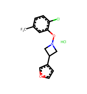 Cl.FC(F)(F)c1ccc(Cl)c(ON2CC(c3ccoc3)C2)c1